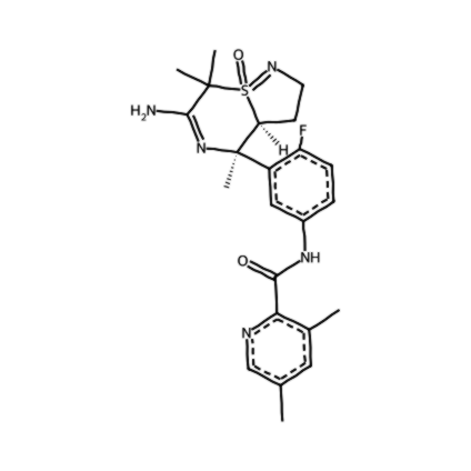 Cc1cnc(C(=O)Nc2ccc(F)c([C@@]3(C)N=C(N)C(C)(C)S4(=O)=NCC[C@@H]34)c2)c(C)c1